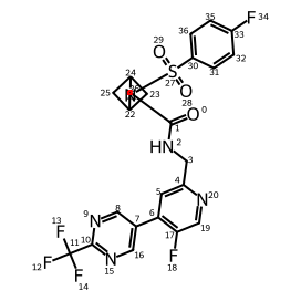 O=C(NCc1cc(-c2cnc(C(F)(F)F)nc2)c(F)cn1)C1C2CC(C2)N1S(=O)(=O)c1ccc(F)cc1